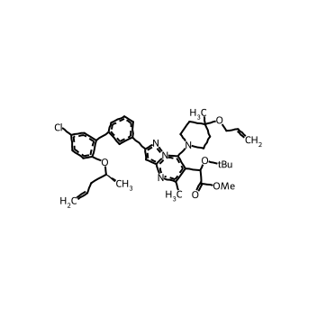 C=CCOC1(C)CCN(c2c(C(OC(C)(C)C)C(=O)OC)c(C)nc3cc(-c4cccc(-c5cc(Cl)ccc5O[C@@H](C)CC=C)c4)nn23)CC1